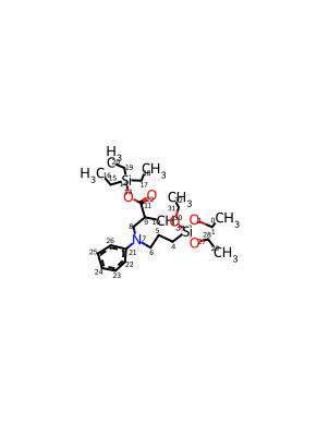 CCO[Si](CCCN(CC(C)C(=O)O[Si](CC)(CC)CC)c1ccccc1)(OCC)OCC